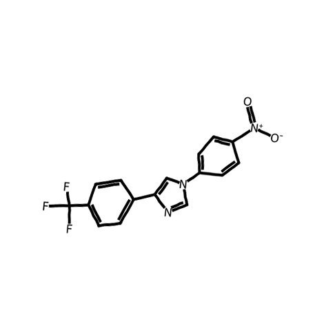 O=[N+]([O-])c1ccc(-n2cnc(-c3ccc(C(F)(F)F)cc3)c2)cc1